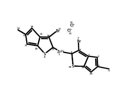 CC1=CC2=C(Br)[CH]([Zr+2][CH]3SC4=CC(C)=CC4=C3Br)SC2=C1.[Cl-].[Cl-]